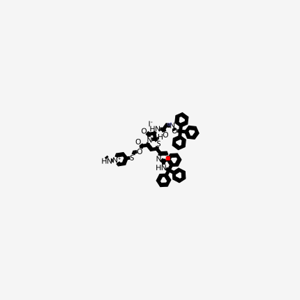 CN[n+]1ccc(SCOC(=O)C2=CC(c3csc(NC(c4ccccc4)(c4ccccc4)c4ccccc4)n3)S[C@H]3C(NC(=O)/C=N\OC(c4ccccc4)(c4ccccc4)c4ccccc4)C(=O)N23)cc1.[I-]